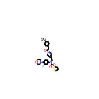 CC(C)(C)c1ccc(CC(=O)N2CC3C(C2)C3CN(C(=O)Oc2cccs2)c2ccc(N3CCOCC3)c(F)c2)cc1